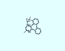 Cc1c[n+]2c3c(n1)c1ccccc1c1cccc(c13)C1(C)CC21C